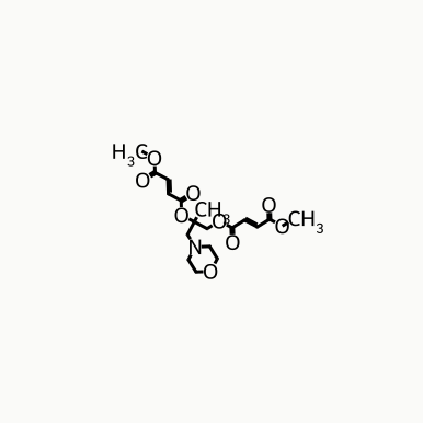 COC(=O)/C=C/C(=O)OCC(C)(CN1CCOCC1)OC(=O)/C=C/C(=O)OC